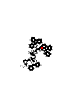 CC1(C)OCCC(CSC2(C(=O)OC(c3ccccc3)c3ccccc3)CS[C@@H]3C(NC(=O)C(=NOC(c4ccccc4)(c4ccccc4)c4ccccc4)c4csc(NC(c5ccccc5)(c5ccccc5)c5ccccc5)n4)C(=O)N3C2)O1